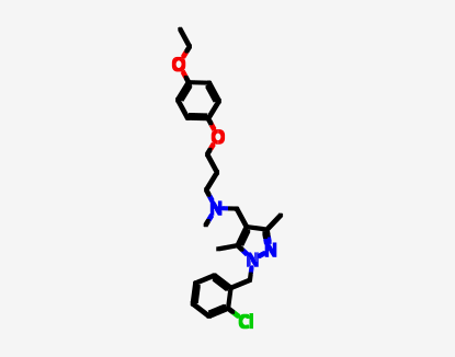 CCOc1ccc(OCCCN(C)Cc2c(C)nn(Cc3ccccc3Cl)c2C)cc1